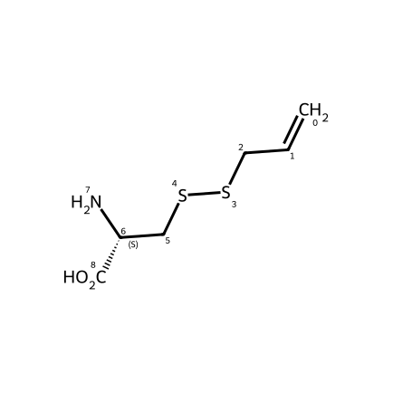 C=CCSSC[C@@H](N)C(=O)O